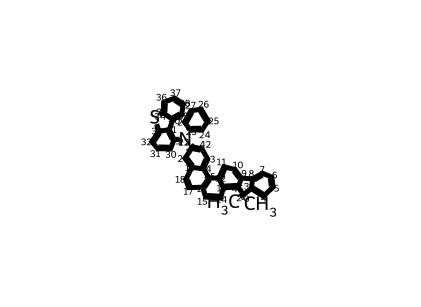 CC1(C)c2ccccc2-c2ccc3c(ccc4ccc5cc(N(c6ccccc6)c6cccc7sc8ccccc8c67)ccc5c43)c21